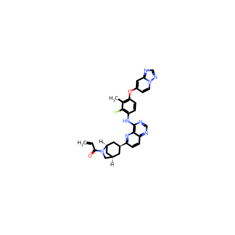 C=CC(=O)N1C[C@@H]2C[C@H](c3ccc4ncnc(Nc5ccc(Oc6ccn7ncnc7c6)c(C)c5F)c4n3)C[C@H]1C2